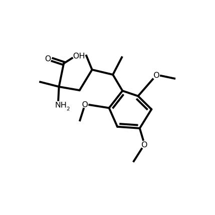 COc1cc(OC)c(C(C)C(C)CC(C)(N)C(=O)O)c(OC)c1